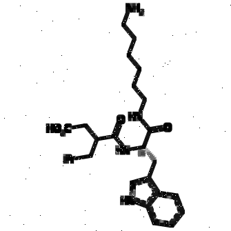 CC(C)CC(CC(=O)O)C(=O)N[C@@H](Cc1c[nH]c2ccccc12)C(=O)NCCCCCCN